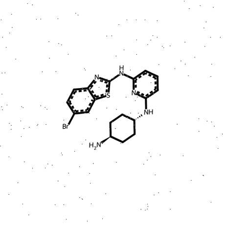 N[C@H]1CC[C@H](Nc2cccc(Nc3nc4ccc(Br)cc4s3)n2)CC1